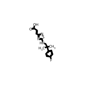 CC(C)(CNc1nc(C=CC(=O)O)ns1)c1ccc(F)cc1